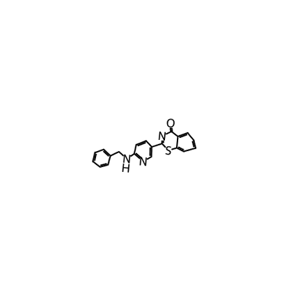 O=c1nc(-c2ccc(NCc3ccccc3)nc2)sc2ccccc12